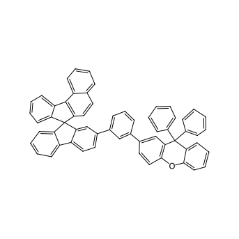 c1ccc(C2(c3ccccc3)c3ccccc3Oc3ccc(-c4cccc(-c5ccc6c(c5)C5(c7ccccc7-6)c6ccccc6-c6c5ccc5ccccc65)c4)cc32)cc1